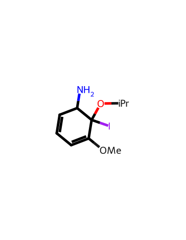 COC1=CC=CC(N)C1(I)OC(C)C